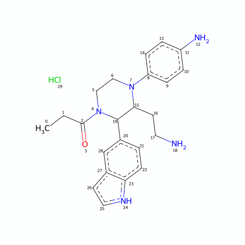 CCC(=O)N1CCN(c2ccc(N)cc2)C(CCN)C1c1ccc2[nH]ccc2c1.Cl